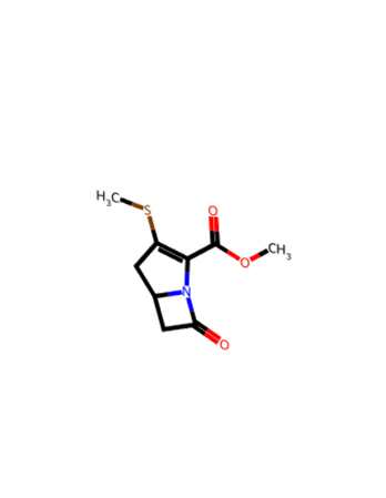 COC(=O)C1=C(SC)CC2CC(=O)N12